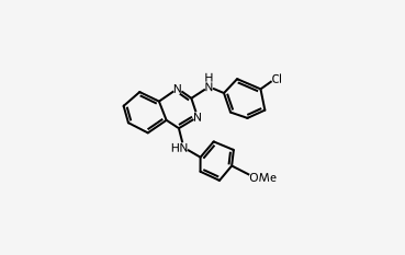 COc1ccc(Nc2nc(Nc3cccc(Cl)c3)nc3ccccc23)cc1